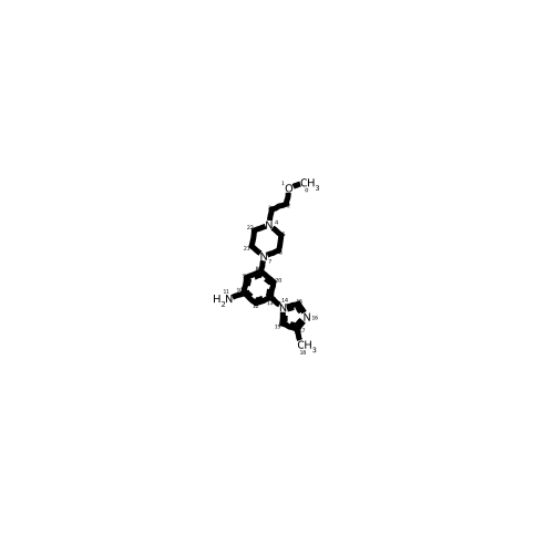 COCCN1CCN(c2cc(N)cc(-n3cnc(C)c3)c2)CC1